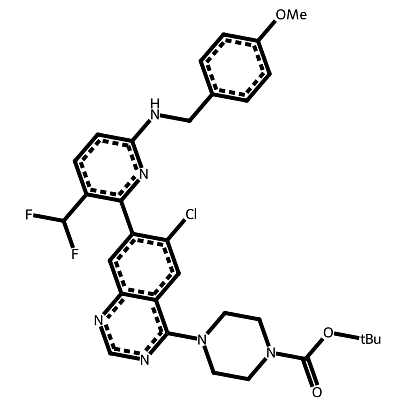 COc1ccc(CNc2ccc(C(F)F)c(-c3cc4ncnc(N5CCN(C(=O)OC(C)(C)C)CC5)c4cc3Cl)n2)cc1